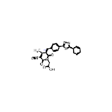 [C-]#[N+]C1=C(C)/C(=C/c2ccc(-c3nnc(-c4ccccc4)o3)cc2)C(=O)N(CC(=O)O)C1=O